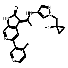 C/C(Nc1cnn(CC2(O)CC2)c1)=C1/C(=O)Nc2cnc(-c3cnccc3C)cc21